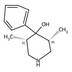 C[C@@H]1CNC[C@H](C)C1(O)c1ccccc1